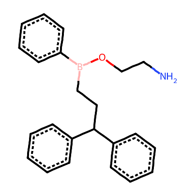 NCCOB(CCC(c1ccccc1)c1ccccc1)c1ccccc1